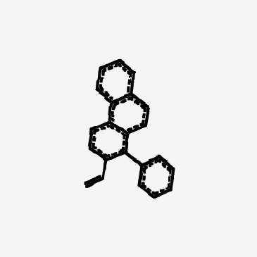 C=Cc1ccc2c(ccc3ccccc32)c1-c1ccccc1